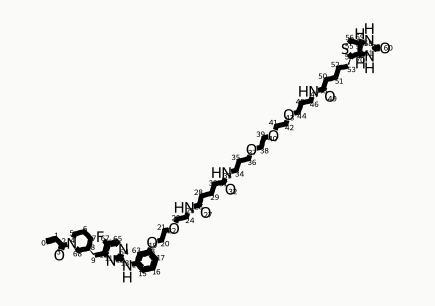 C=CC(=O)N1CCC[C@H](Cc2nc(Nc3cccc(OCCOCCNC(=O)CCCC(=O)NCCCOCCOCCOCCCNC(=O)CCCC[C@@H]4SC[C@@H]5NC(=O)N[C@@H]54)c3)ncc2F)C1